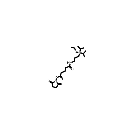 CCO[Si](CCCNC(=O)CCCC(=O)ON1C(=O)CCC1=O)(C(C)C)C(C)C